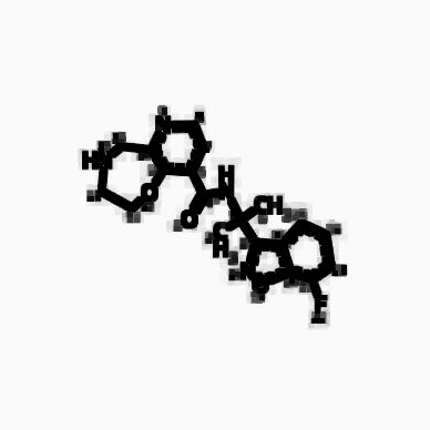 CC(C)(NC(=O)c1ccnc2c1OCCNC2)c1noc2c(F)cccc12